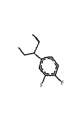 CC[C](CC)c1ccc(F)c(F)c1